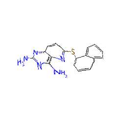 Nc1nc(N)c2nc(Sc3cccc4ccccc34)ccc2n1